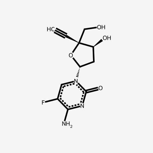 C#C[C@]1(CO)O[C@@H](n2cc(F)c(N)nc2=O)C[C@@H]1O